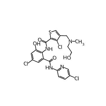 CN(CCO)Cc1csc(C(=O)Nc2c(O)cc(Cl)cc2C(=O)Nc2ccc(Cl)cn2)c1Cl